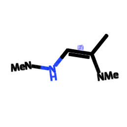 CNN/C=C(/C)NC